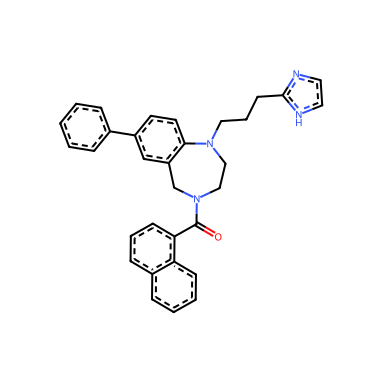 O=C(c1cccc2ccccc12)N1CCN(CCCc2ncc[nH]2)c2ccc(-c3ccccc3)cc2C1